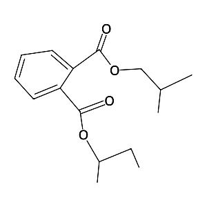 CCC(C)OC(=O)c1ccccc1C(=O)OCC(C)C